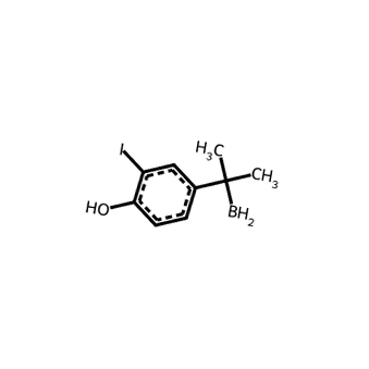 BC(C)(C)c1ccc(O)c(I)c1